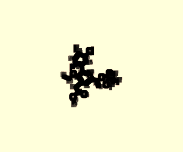 C=C(OS(=O)(=O)C(F)(F)F)c1cc(CC(=O)OC)c(OCC)c(-c2cc(Cl)c(F)cc2F)n1